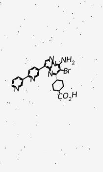 Nc1c(Br)c([C@H]2CC[C@H](C(=O)O)CC2)nc2c(-c3ccc(-c4cccnc4)nc3)cnn12